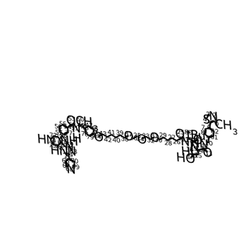 Cc1ncsc1-c1ccc(CNC(=O)C2C[C@@H](O)CN2C(=O)[C@@H](NC(=O)CCCCCOCCOCCOCCCCCCOc2ccc([C@H](C)NC(=O)c3cccc(NC4(c5nnc(-c6ccncc6)[nH]5)CCNCC4)c3)cc2)C(C)(C)C)cc1